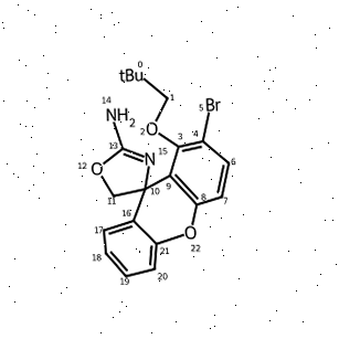 CC(C)(C)COc1c(Br)ccc2c1C1(COC(N)=N1)c1ccccc1O2